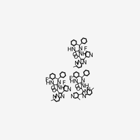 Cc1ccc2nc(-c3ccncc3C)c(C(=O)N[C@H]3N=C(c4ccccc4)c4cccc(F)c4NC3=O)n2n1.Cc1ccc2nc(-c3cncc(F)c3)c(C(=O)N[C@H]3N=C(c4ccccc4)c4cccc(F)c4NC3=O)n2n1.Cc1ccc2nc(-c3cncc(F)c3)c(C(=O)N[C@H]3N=C(c4ccccc4)c4ccccc4NC3=O)n2n1